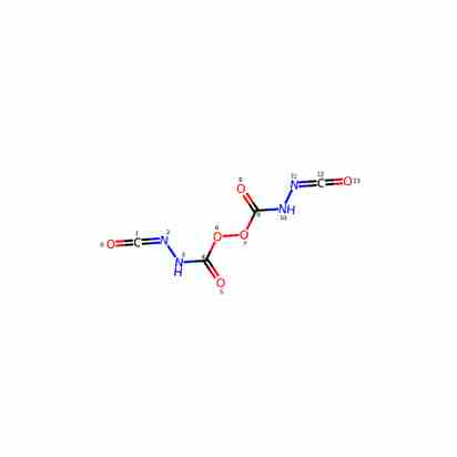 O=C=NNC(=O)OOC(=O)NN=C=O